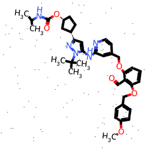 COc1ccc(COc2cccc(OCc3ccnc(Nc4cc([C@H]5CC[C@@H](OC(=O)NC(C)C)C5)nn4C(C)(C)C)c3)c2C=O)cc1